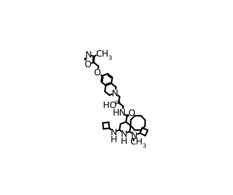 Cc1ncoc1COc1ccc2c(c1)CCN(C[C@@H](O)CNC(=O)C1CC(NC3CCC3)NC(N(C)C3CCC3)C13CCCCCCC3)C2